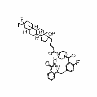 C[C@]12CCC(F)(F)C[C@@H]1CC[C@@H]1[C@@H]2CC[C@@]2(C)[C@H]1CC[C@@]2(O)CCCC(=O)N1CCN(C(=O)c2cc(Cc3n[nH]c(=O)c4ccccc34)ccc2F)CC1